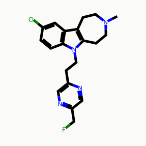 CN1CCc2c(n(CCc3cnc(CF)cn3)c3ccc(Cl)cc23)CC1